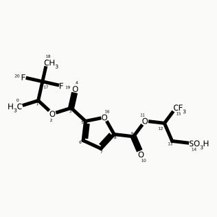 CC(OC(=O)c1ccc(C(=O)OC(CS(=O)(=O)O)C(F)(F)F)o1)C(C)(F)F